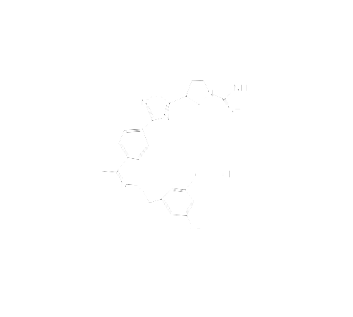 CC(=NOCc1cc(C(F)(F)F)cc(C(F)(F)F)c1)c1ccc(-c2noc(C3CCN(C(=N)N)C3)n2)cc1.Cl